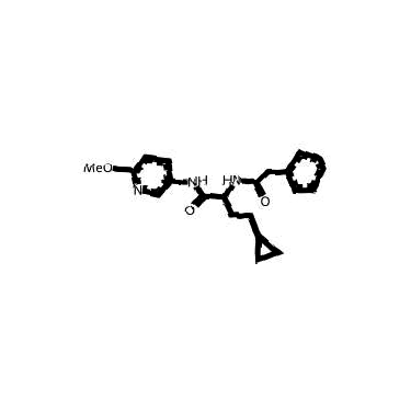 COc1ccc(NC(=O)C(CCC2CC2)NC(=O)Cc2ccccc2)cn1